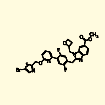 COC(=O)c1ccc2nc(Cc3cc(F)c(-c4cccc(OCc5ncc(Br)s5)n4)cc3F)n(CC3CCO3)c2c1